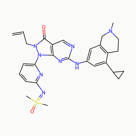 C=CCn1c(=O)c2cnc(Nc3cc4c(c(C5CC5)c3)CCN(C)C4)nc2n1-c1cccc(N=S(C)(C)=O)n1